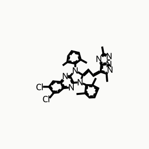 Cc1nc2/c(=C\C=C3N(c4c(C)cccc4C)c4nc5cc(Cl)c(Cl)cc5nc4N3c3c(C)cccc3C)c(C)nn2n1